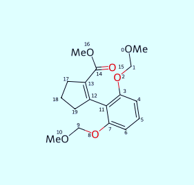 COCOc1cccc(OCOC)c1C1=C(C(=O)OC)CCC1